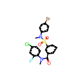 CN(C(=O)c1cccc(S(=O)(=O)N(C)c2ccc(Br)cc2)c1)c1ccc(Cl)cc1F